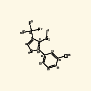 CSc1c(C(F)(F)F)csc1-c1cccc(Cl)c1